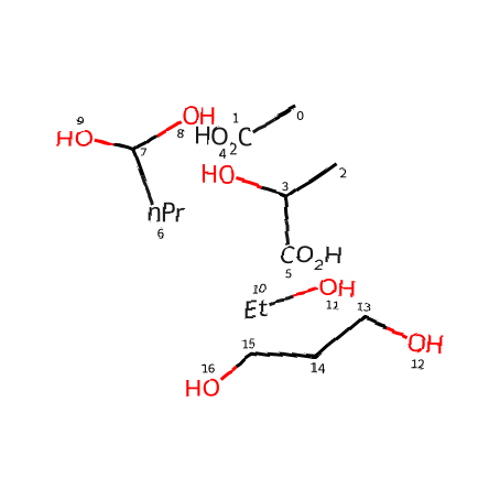 CC(=O)O.CC(O)C(=O)O.CCCC(O)O.CCO.OCCCO